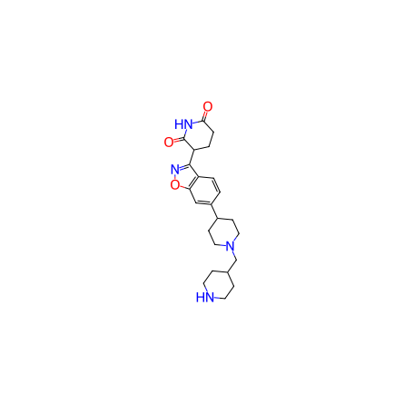 O=C1CCC(c2noc3cc(C4CCN(CC5CCNCC5)CC4)ccc23)C(=O)N1